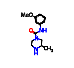 COc1cccc(NC(=O)N2CCNC(C)C2)c1